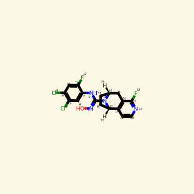 ON=C(Nc1cc(Cl)c(Cl)cc1F)N1[C@@H]2CC[C@H]1c1ccnc(F)c1C2